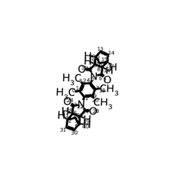 Cc1c(C)c(N2C(=O)[C@@H]3[C@H](C2=O)[C@@H]2C=C[C@H]3C2)c(C)c(C)c1N1C(=O)[C@@H]2[C@H](C1=O)[C@@H]1C=C[C@H]2C1